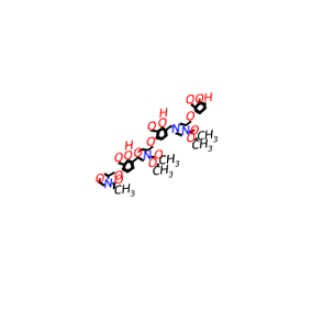 CCC(=O)N1CCOCC1COc1ccc(C2CN(C(=O)OC(C)C)C(COc3ccc(CN4CCN(C(=O)OC(C)C)C(COc5cccc(O)c5C=O)C4)c(O)c3C=O)CO2)c(O)c1C=O